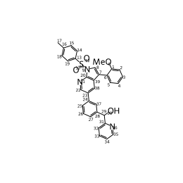 COc1ccccc1-c1cn(S(=O)(=O)c2ccc(C)cc2)c2ncc(-c3cccc(C(O)c4ccccn4)c3)cc12